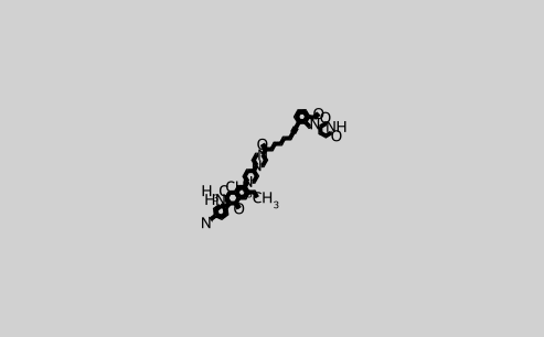 CCc1cc2c(cc1N1CCC(N3CCN(C(=O)CCCCCC#Cc4cccc5c4CN(C4CCC(=O)NC4=O)C5=O)CC3)CC1)C(C)(C)c1[nH]c3cc(C#N)ccc3c1C2=O